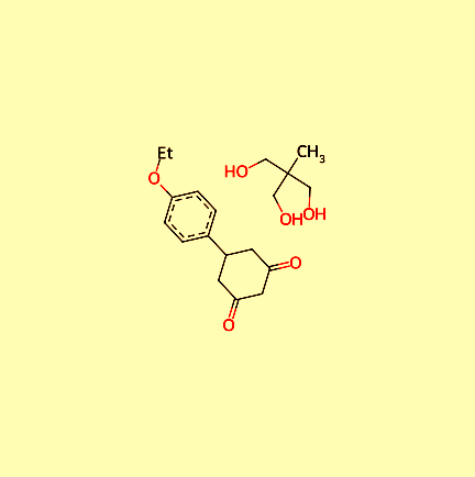 CC(CO)(CO)CO.CCOc1ccc(C2CC(=O)CC(=O)C2)cc1